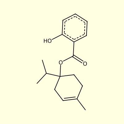 CC1=CCC(OC(=O)c2ccccc2O)(C(C)C)CC1